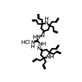 C=CCC1(CC=C)CC(=NNC(=N)NN=C2CC(CC=C)(CC=C)NC(CC=C)(CC=C)C2)CC(CC=C)(CC=C)N1.Cl